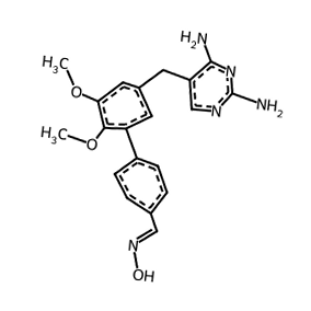 COc1cc(Cc2cnc(N)nc2N)cc(-c2ccc(/C=N/O)cc2)c1OC